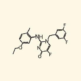 CCOc1ccc(C)c(Nc2nc(=O)c(F)cn2Cc2cc(F)cc(F)c2)c1